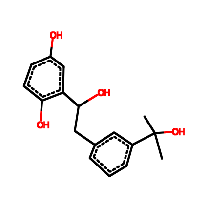 CC(C)(O)c1cccc(CC(O)c2cc(O)ccc2O)c1